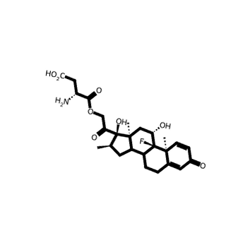 C[C@@H]1CC2C3CCC4=CC(=O)C=C[C@]4(C)[C@@]3(F)[C@@H](O)C[C@]2(C)[C@@]1(O)C(=O)COC(=O)[C@H](N)CC(=O)O